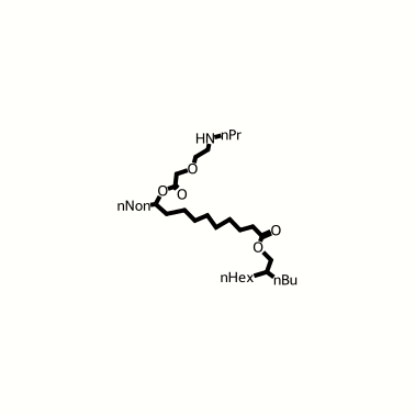 CCCCCCCCCC(CCCCCCCCC(=O)OCC(CCCC)CCCCCC)OC(=O)COCCNCCC